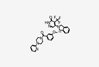 O=C(c1cccc(OC[C@H]2c3ccccc3CN2c2cn[nH]c(=O)c2C(F)(F)F)c1)N1CCN(c2ccccn2)CC1